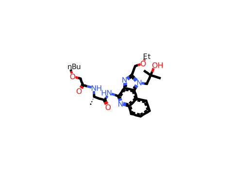 CCCCOCC(=O)N[C@@H](C)C(=O)Nc1nc2ccccc2c2c1nc(COCC)n2CC(C)(C)O